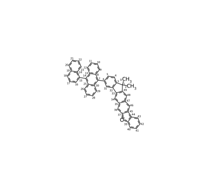 CC1(C)c2ccc(-c3c4ccccc4c(-c4cccc5ccccc45)c4ccccc34)cc2-c2cc3cc4oc5ccccc5c4cc3cc21